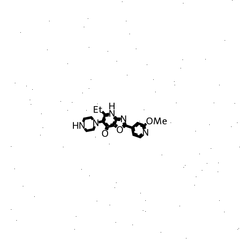 CCc1[nH]c2nc(-c3ccnc(OC)c3)oc2c(=O)c1N1CCNCC1